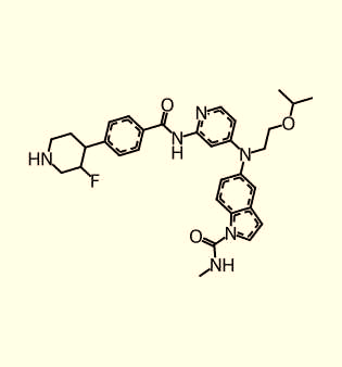 CNC(=O)n1ccc2cc(N(CCOC(C)C)c3ccnc(NC(=O)c4ccc(C5CCNCC5F)cc4)c3)ccc21